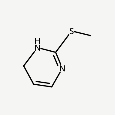 CSC1=NC=CCN1